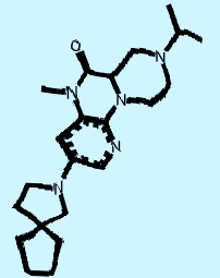 CC(C)N1CCN2c3ncc(N4CCC5(CCCC5)C4)cc3N(C)C(=O)C2C1